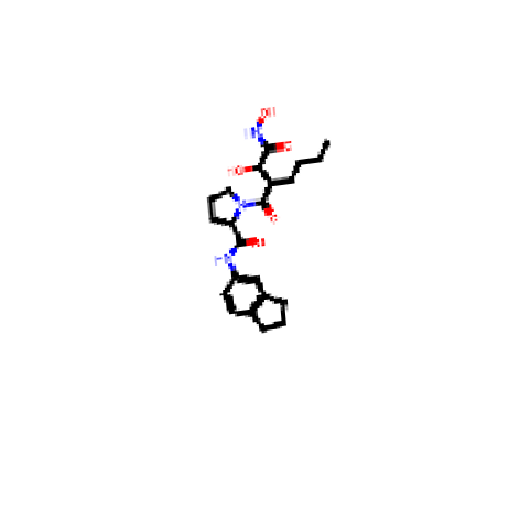 CCCCC(C(=O)N1CCCC1C(=O)Nc1ccc2c(c1)CCC2)C(O)C(=O)NO